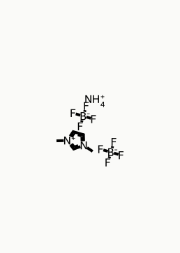 Cn1cc[n+](C)c1.F[B-](F)(F)F.F[B-](F)(F)F.[NH4+]